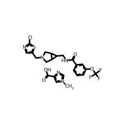 Cn1cnc(C(=O)O)c1.O=C(NCC1C2CN(Cc3cnc(Cl)s3)CC12)c1cccc(OC(F)(F)F)c1